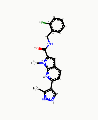 Cc1[nH]ncc1-c1ccc2cc(C(=O)NCc3ccccc3F)n(C)c2n1